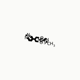 Cc1ncc(S(=O)(=O)N2CCC(c3ccc4ncnn4c3)CC2)s1